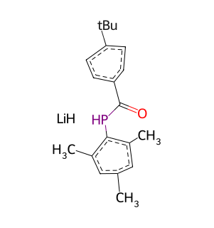 Cc1cc(C)c(PC(=O)c2ccc(C(C)(C)C)cc2)c(C)c1.[LiH]